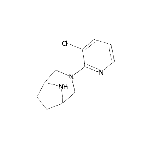 Clc1cccnc1N1CC2CCC(C1)N2